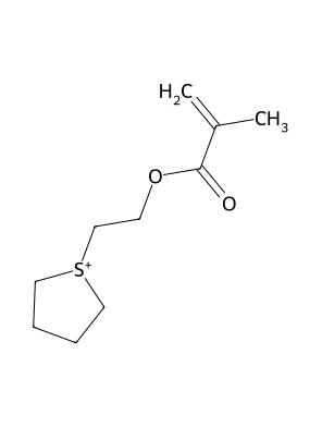 C=C(C)C(=O)OCC[S+]1CCCC1